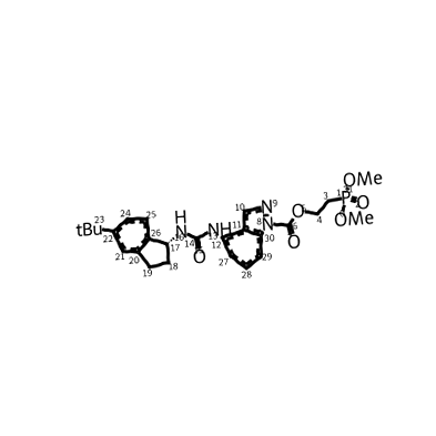 COP(=O)(CCOC(=O)n1ncc2c(NC(=O)N[C@@H]3CCc4cc(C(C)(C)C)ccc43)cccc21)OC